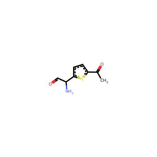 CC(=O)c1ccc(C(N)C=O)s1